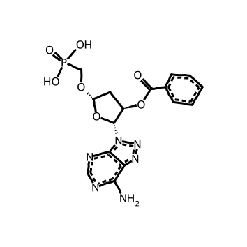 Nc1ncnc2c1nnn2[C@@H]1O[C@H](OCP(=O)(O)O)C[C@H]1OC(=O)c1ccccc1